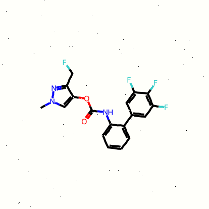 Cn1cc(OC(=O)Nc2ccccc2-c2cc(F)c(F)c(F)c2)c(CF)n1